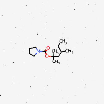 CCC(C)CC(C)(C)OC(=O)N1CCCC1